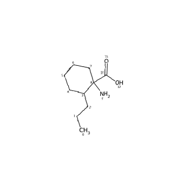 CCCC1CCCCC1(N)C(=O)O